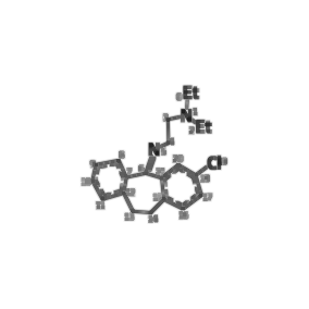 CCN(CC)CC/N=C1/c2ccccc2CCc2ccc(Cl)cc21